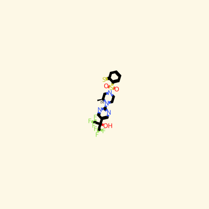 C[C@H]1CN(S(=O)(=O)C2=CC=CCC2=S)CCN1c1ncc(C(O)(C(F)(F)F)C(F)(F)F)cn1